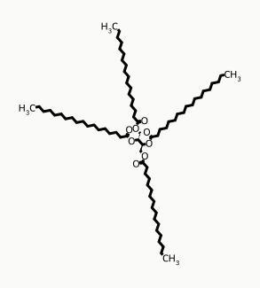 CCCCCCCCCCCCCCCCCC(=O)OC[C@H](OC(=O)CCCCCCCCCCCCCCCCC)[C@@H](COC(=O)CCCCCCCCCCCCCCCCC)OC(=O)CCCCCCCCCCCCCCCCC